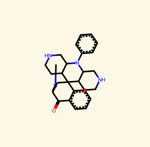 CN1CCCC2C(=O)c3ccccc3C3(C4CCNCC4N(c4ccccc4)C4CNCCC43)C21